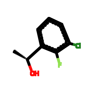 C[C@@H](O)c1cccc(Cl)c1F